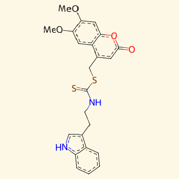 COc1cc2oc(=O)cc(CSC(=S)NCCc3c[nH]c4ccccc34)c2cc1OC